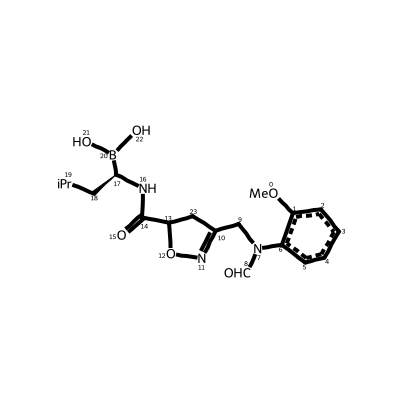 COc1ccccc1N(C=O)CC1=NOC(C(=O)N[C@@H](CC(C)C)B(O)O)C1